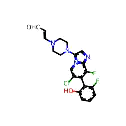 O=CC=CN1CCN(c2cnc3c(F)c(-c4c(O)cccc4F)c(Cl)cn23)CC1